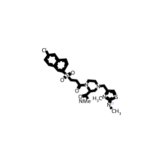 C/N=c1\scc(CN2CCN(C(=O)CCS(=O)(=O)c3ccc4cc(Cl)ccc4c3)C(C(=O)NC)C2)n1C